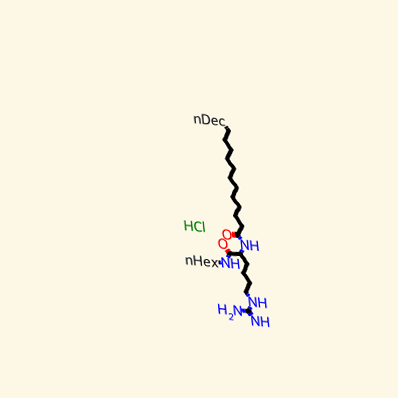 CCCCCCCCCCCCCCCCCCCCCC(=O)NC(CCCCNC(=N)N)C(=O)NCCCCCC.Cl